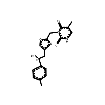 Cc1ccc([C@@H](O)Cc2noc(Cn3c(=O)[nH]cc(C)c3=O)n2)cc1